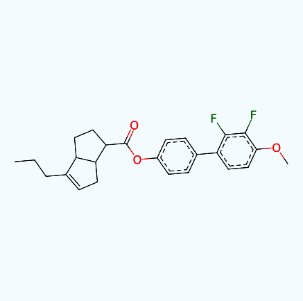 CCCC1=CCC2C(C(=O)Oc3ccc(-c4ccc(OC)c(F)c4F)cc3)CCC12